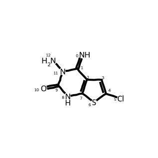 N=c1c2cc(Cl)sc2[nH]c(=O)n1N